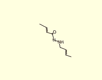 CC=CCN[N]C(=O)/C=C/C